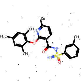 Cc1cccc(S(=N)(=O)NC(=O)c2ccc(C(C)(C)C)nc2Oc2c(C)cc(C)cc2C)c1